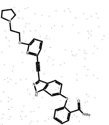 CNC(=O)c1ccccc1Sc1ccc2c(C#Cc3cccc(OCCN4CCCC4)n3)n[nH]c2c1